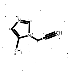 C#CCn1cncc1C